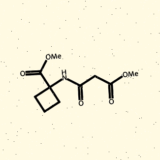 COC(=O)CC(=O)NC1(C(=O)OC)CCC1